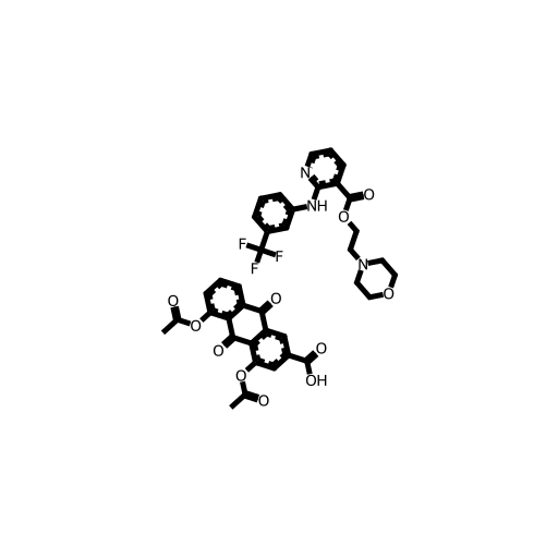 CC(=O)Oc1cccc2c1C(=O)c1c(OC(C)=O)cc(C(=O)O)cc1C2=O.O=C(OCCN1CCOCC1)c1cccnc1Nc1cccc(C(F)(F)F)c1